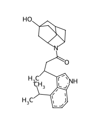 CC(C)c1cccc2[nH]cc(C(C)CC(=O)N3C4CC5CC3CC(O)(C5)C4)c12